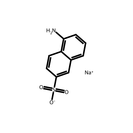 Nc1cccc2cc(S(=O)(=O)[O-])ccc12.[Na+]